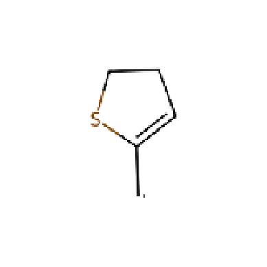 [CH2]C1=CCCS1